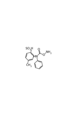 Cc1ccc(S(=O)(=O)O)cc1.NOC(=O)Nc1ccccc1